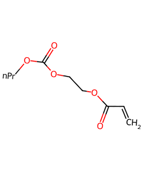 C=CC(=O)OCCOC(=O)OCCC